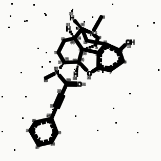 CN1CC[C@@]23c4c5ccc(O)c4C[C@@H]1[C@@H]2CC[C@@H](N(C)C(=O)C#Cc1ccccc1)[C@@H]3O5